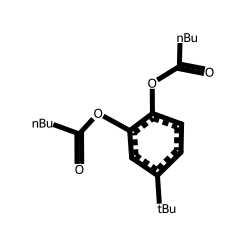 CCCCC(=O)Oc1ccc(C(C)(C)C)cc1OC(=O)CCCC